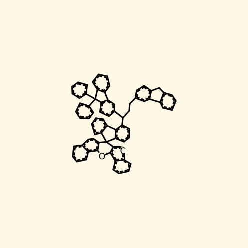 c1ccc(C2(c3ccccc3)c3ccccc3-c3cc(C(CCc4ccc5c(c4)-c4ccccc4C5)c4cccc5c4-c4ccccc4C54c5ccc6ccccc6c5Oc5c4ccc4ccccc54)ccc32)cc1